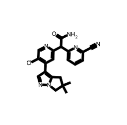 CC1(C)Cc2c(-c3cc(C(C(N)=O)c4cccc(C#N)n4)ncc3Cl)cnn2C1